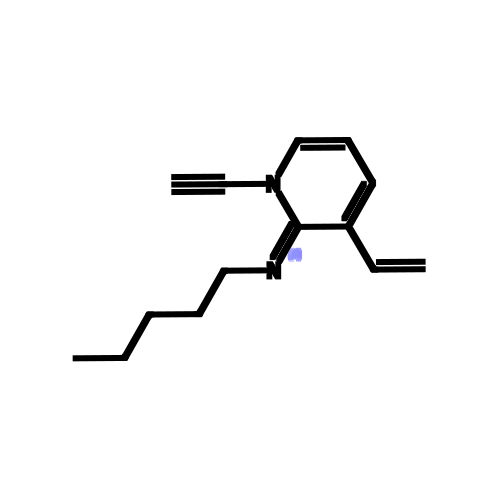 C#Cn1cccc(C=C)/c1=N/CCCCC